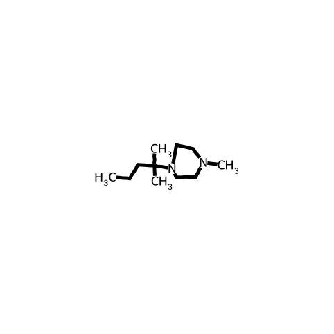 CCCC(C)(C)N1CCN(C)CC1